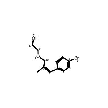 CC(=Cc1ccc(Br)cc1)COCCO